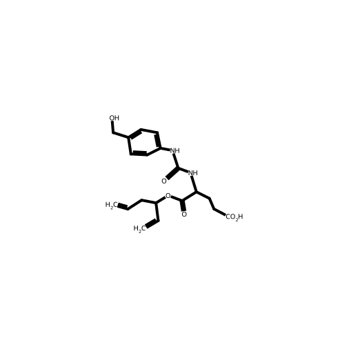 C=CCC(C=C)OC(=O)C(CCC(=O)O)NC(=O)Nc1ccc(CO)cc1